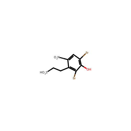 O=[N+]([O-])c1cc(Br)c(O)c(Br)c1CCS(=O)(=O)O